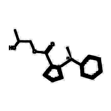 CC(O)COC(=O)c1cccn1[C@H](C)c1ccccc1